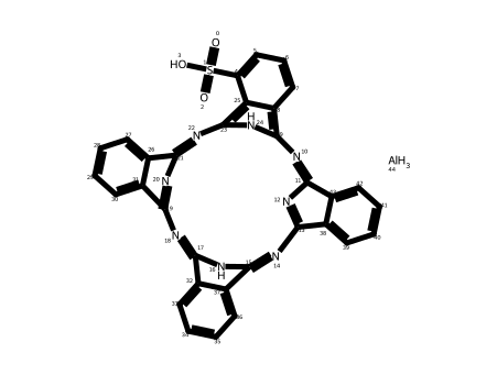 O=S(=O)(O)c1cccc2c3nc4nc(nc5[nH]c(nc6nc(nc([nH]3)c12)-c1ccccc1-6)c1ccccc51)-c1ccccc1-4.[AlH3]